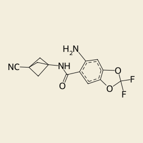 N#CC12CC(NC(=O)c3cc4c(cc3N)OC(F)(F)O4)(C1)C2